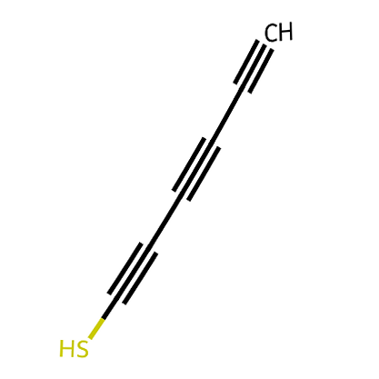 C#CC#CC#CS